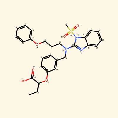 CCC(Oc1cccc(CN(CCCOc2ccccc2)c2nc3ccccc3n2S(C)(=O)=O)c1)C(=O)O